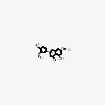 CCCCOc1cc(O)c2c(c1)C[C@@H](c1ccc(OCCCC)c(OCCCC)c1)CC2=O